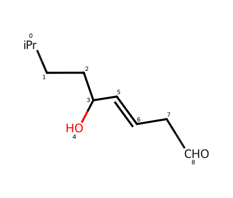 CC(C)CCC(O)/C=C/CC=O